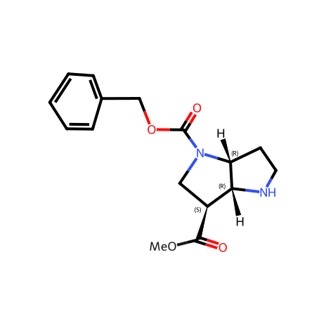 COC(=O)[C@H]1CN(C(=O)OCc2ccccc2)[C@@H]2CCN[C@H]12